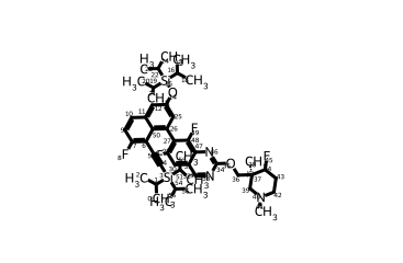 CC(C)[Si](C#Cc1c(F)ccc2cc(O[Si](C(C)C)(C(C)C)C(C)C)cc(-c3c(F)cc4cnc(OC[C@]5(C)CN(C)CCC5F)nc4c3F)c12)(C(C)C)C(C)C